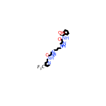 O=C(NCc1cc(C(F)(F)F)ccn1)c1cn(CCCCn2cc(C(=O)N[C@@H](CO)c3ccccc3)nn2)nn1